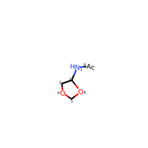 CC(=O)NC1COCO1